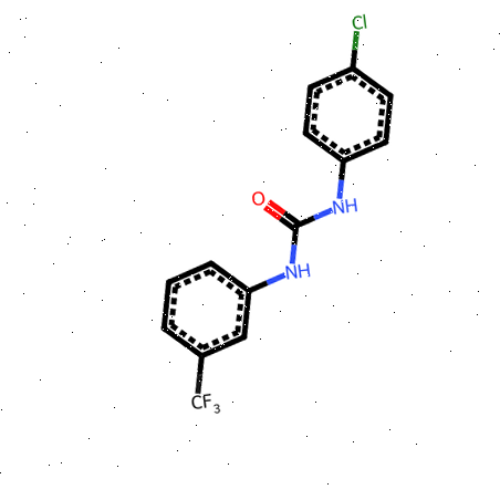 O=C(Nc1ccc(Cl)cc1)Nc1cccc(C(F)(F)F)c1